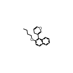 CCCCOc1ccc2ccccc2c1C1=[C]OC=CC1